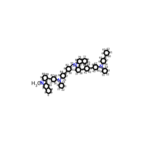 Cn1c2cc3ccccc3cc2c2c(-c3ccc(N(c4ccccc4)c4ccc(-c5ccc(Cn6c7cccc(-c8ccc(-c9ccc(N(c%10ccccc%10)c%10ccc(-c%11ccccc%11)cc%10)cc9)cc8)c7c7c8ccccc8ccc76)cc5)cc4)cc3)cccc21